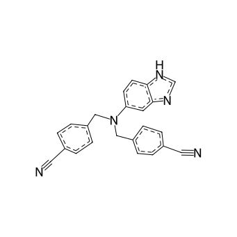 N#Cc1ccc(CN(Cc2ccc(C#N)cc2)c2ccc3[nH]cnc3c2)cc1